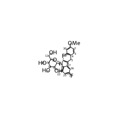 COc1ccc(Cc2cn([C@@H]3O[C@H](CO)[C@@H](O)[C@H](O)[C@H]3O)c3c(C)cc(F)cc23)c(F)c1